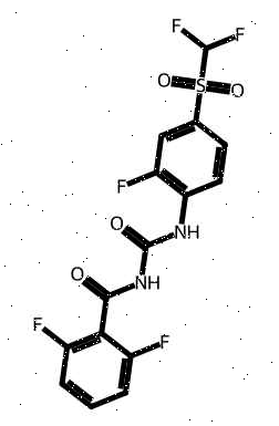 O=C(NC(=O)c1c(F)cccc1F)Nc1ccc(S(=O)(=O)C(F)F)cc1F